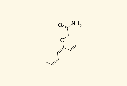 C=C/C(=C\C=C/C)OCC(N)=O